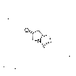 O=C1Cc2ccnn2C1